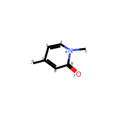 [CH2]c1ccn(C)c(=O)c1